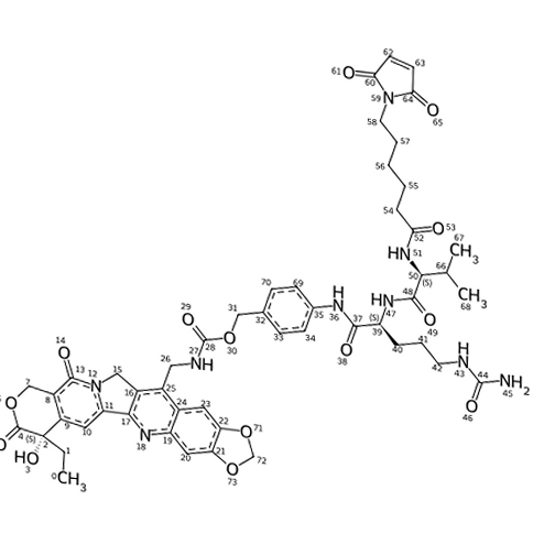 CC[C@@]1(O)C(=O)OCc2c1cc1n(c2=O)Cc2c-1nc1cc3c(cc1c2CNC(=O)OCc1ccc(NC(=O)[C@H](CCCNC(N)=O)NC(=O)[C@@H](NC(=O)CCCCCN2C(=O)C=CC2=O)C(C)C)cc1)OCO3